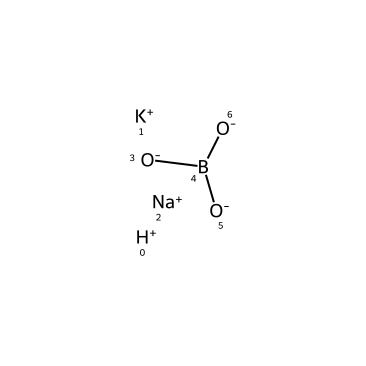 [H+].[K+].[Na+].[O-]B([O-])[O-]